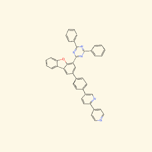 c1ccc(-c2nc(-c3ccccc3)nc(-c3cc(-c4ccc(-c5ccc(-c6ccncc6)nc5)cc4)cc4c3oc3ccccc34)n2)cc1